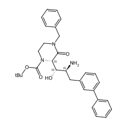 CC(C)(C)OC(=O)N1CCN(Cc2ccccc2)C(=O)[C@@H]1[C@@H](O)[C@@H](N)Cc1cccc(-c2ccccc2)c1